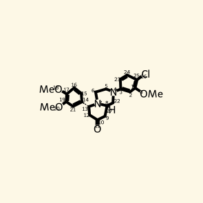 COc1cc(N2CCN3[C@H](CC(=O)C[C@@H]3c3ccc(OC)c(OC)c3)C2)ccc1Cl